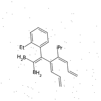 BC(B)=C(C(=C/C=C)/C(=C\C=C)C(C)C)c1ccccc1CC